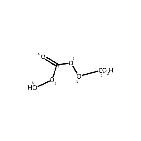 O=C(O)OOC(=O)OO